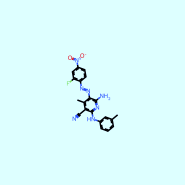 Cc1cccc(Nc2nc(N)c(N=Nc3ccc([N+](=O)[O-])cc3F)c(C)c2C#N)c1